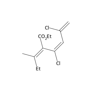 C=C(Cl)/C=C(Cl)\C(C(=O)OCC)=C(\C)CC